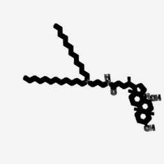 CCCCCCCCCCCCN(CCCCCCCCCCCC)CCCNC(=O)CC[C@@H](C)[C@H]1CCC2[C@H]3C(CC[C@@]21C)[C@@]1(C)CC[C@@H](O)C[C@@]1(C)C[C@H]3O